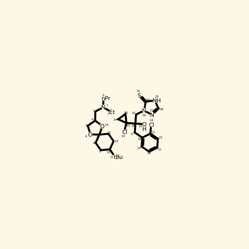 CCCN(CC)CC1COC2(CCC(C(C)(C)C)CC2)O1.OC(Cc1ccccc1Cl)(Cn1nc[nH]c1=S)C1(Cl)CC1